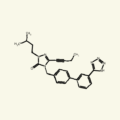 CCC#Cc1nn(CCC(C)C)c(=O)n1Cc1ccc(-c2cccc(-c3nnn[nH]3)c2)cc1